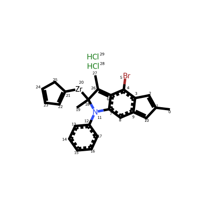 CC1=Cc2c(Br)c3c(cc2=C1)N(c1ccccc1)[C](C)([Zr][C]1=CC=CC1)C=3C.Cl.Cl